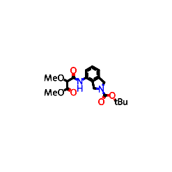 COC(=O)C(OC)C(=O)Nc1cccc2c1CN(C(=O)OC(C)(C)C)C2